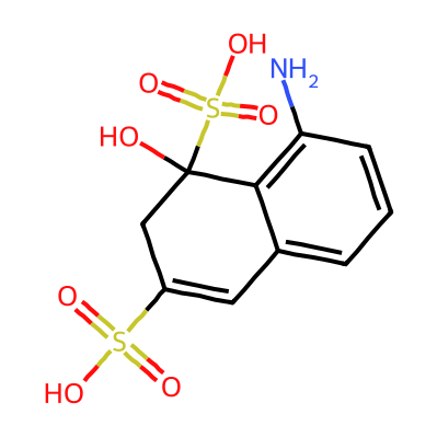 Nc1cccc2c1C(O)(S(=O)(=O)O)CC(S(=O)(=O)O)=C2